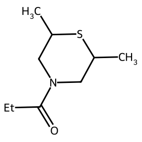 [CH2]CC(=O)N1CC(C)SC(C)C1